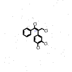 ClC/C(=C(\Cl)c1ccccc1)c1ccc(Cl)c(Cl)c1